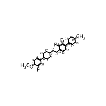 COC1CC=C(C2CCC(CCc3ccc(C4=CCC(C)CC4)c(F)c3F)CC2)C=C1F